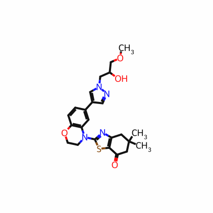 COCC(O)Cn1cc(-c2ccc3c(c2)N(c2nc4c(s2)C(=O)CC(C)(C)C4)CCO3)cn1